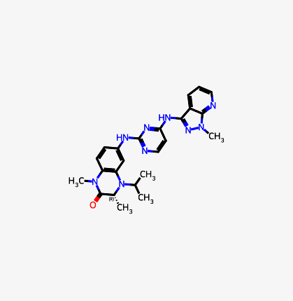 CC(C)N1c2cc(Nc3nccc(Nc4nn(C)c5ncccc45)n3)ccc2N(C)C(=O)[C@H]1C